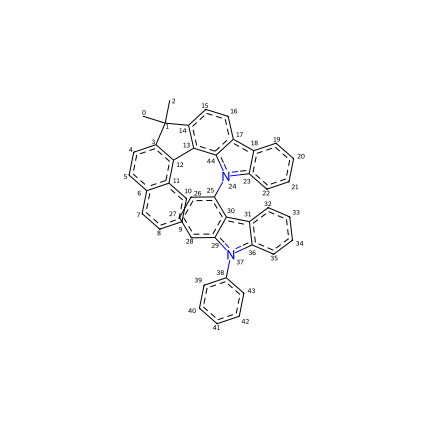 CC1(C)c2ccc3ccccc3c2-c2c1ccc1c3ccccc3n(-c3cccc4c3c3ccccc3n4-c3ccccc3)c21